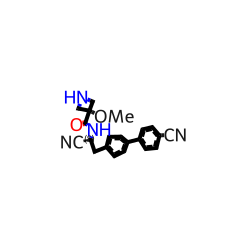 COC1(C(=O)N[C@H](C#N)Cc2ccc(-c3ccc(C#N)cc3)cc2)CNC1